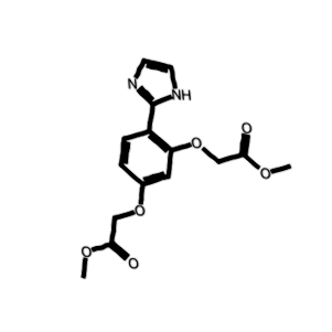 COC(=O)COc1ccc(-c2ncc[nH]2)c(OCC(=O)OC)c1